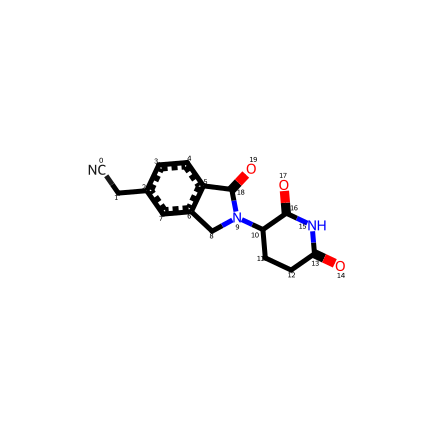 N#CCc1ccc2c(c1)CN(C1CCC(=O)NC1=O)C2=O